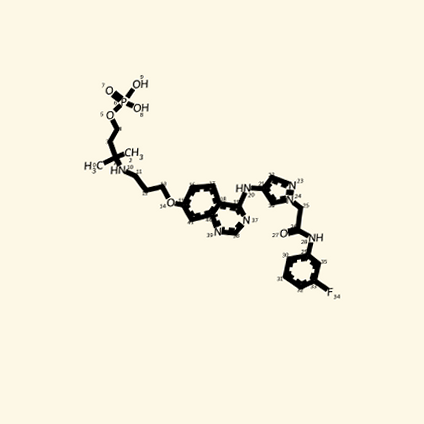 CC(C)(CCOP(=O)(O)O)NCCCOc1ccc2c(Nc3cnn(CC(=O)Nc4cccc(F)c4)c3)ncnc2c1